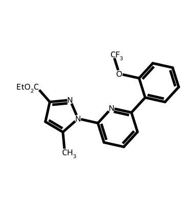 CCOC(=O)c1cc(C)n(-c2cccc(-c3ccccc3OC(F)(F)F)n2)n1